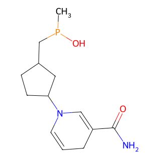 CP(O)CC1CCC(N2C=CCC(C(N)=O)=C2)C1